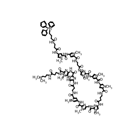 CN(C)CCCNC(=O)CCNC(=O)c1nc(NC(=O)c2nc(NC(=O)CCNC(=O)c3cc(NC(=O)c4nc(NC(=O)c5nc(NC(=O)CCCNC(=O)c6cc(NC(=O)c7cc(NC(=O)c8nc(NC(=O)CCNC(=O)c9cc(NC(=O)c%10cc(NC(=O)CCNC(=O)CCCC[PH](c%11ccccc%11)(c%11ccccc%11)c%11ccccc%11)cn%10C)cn9C)cn8C)cn7C)cn6C)cn5C)cn4C)cn3C)cn2C)cn1C